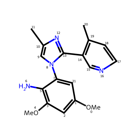 COc1cc(OC)c(N)c(-n2cc(C)nc2-c2cnccc2C)c1